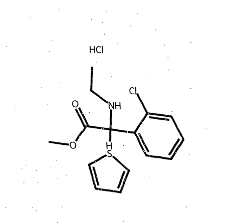 CCNC(C(=O)OC)(c1ccccc1Cl)[SH]1C=CC=C1.Cl